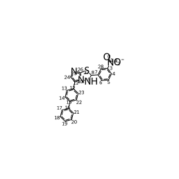 O=[N+]([O-])c1cccc(C2Nn3c(-c4ccc(-c5ccccc5)cc4)cnc3S2)c1